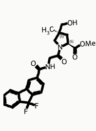 COC(=O)[C@@H]1C[C@](C)(CO)CN1C(=O)CNC(=O)c1ccc2c(c1)-c1ccccc1C2(F)F